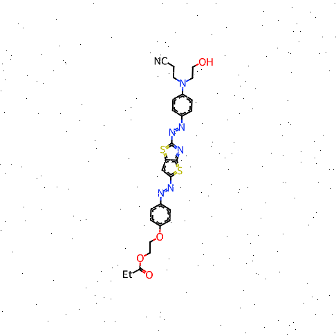 CCC(=O)OCCOc1ccc(N=Nc2cc3sc(N=Nc4ccc(N(CCO)CCC#N)cc4)nc3s2)cc1